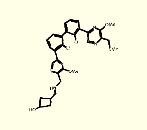 CNCc1ncc(-c2cccc(-c3cccc(-c4cnc(CNCC5CC(O)C5)c(OC)n4)c3Cl)c2Cl)nc1OC